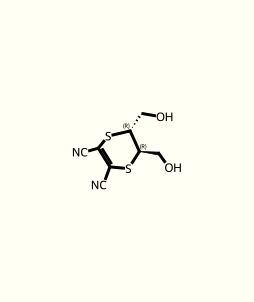 N#CC1=C(C#N)S[C@H](CO)[C@@H](CO)S1